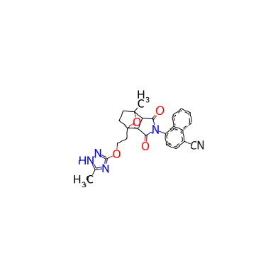 Cc1nc(OCCC23CCC(C)(O2)C2C(=O)N(c4ccc(C#N)c5ccccc45)C(=O)C23)n[nH]1